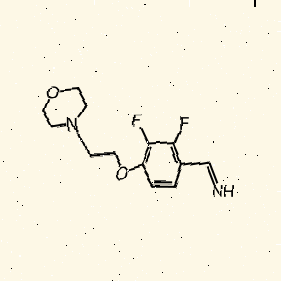 N=Cc1ccc(OCCN2CCOCC2)c(F)c1F